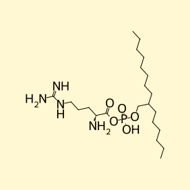 CCCCCCCCC(CCCCCC)COP(=O)(O)OC(=O)[C@@H](N)CCCNC(=N)N